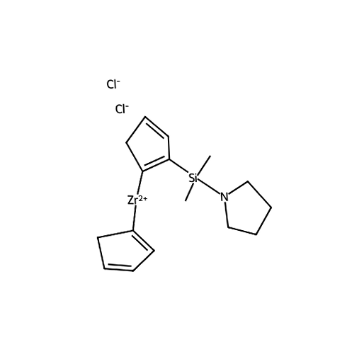 C[Si](C)(C1=[C]([Zr+2][C]2=CC=CC2)CC=C1)N1CCCC1.[Cl-].[Cl-]